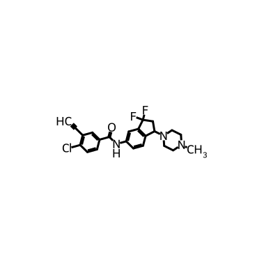 C#Cc1cc(C(=O)Nc2ccc3c(c2)C(F)(F)CC3N2CCN(C)CC2)ccc1Cl